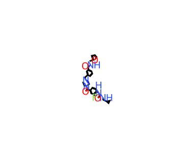 O=C(NCC1CC1)Nc1ccc(C(=O)N2CCN(Cc3cccc(C(=O)NCc4ccco4)c3)CC2)cc1F